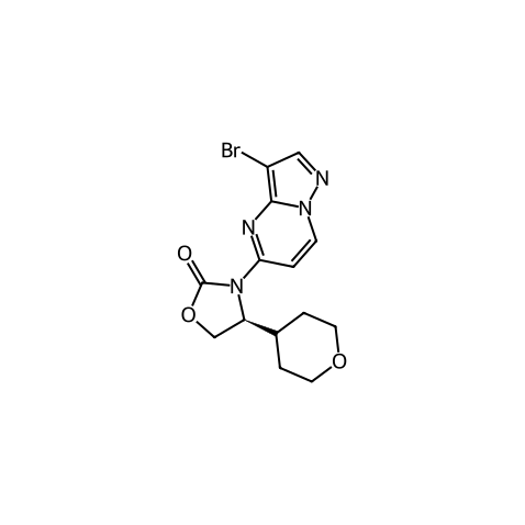 O=C1OC[C@H](C2CCOCC2)N1c1ccn2ncc(Br)c2n1